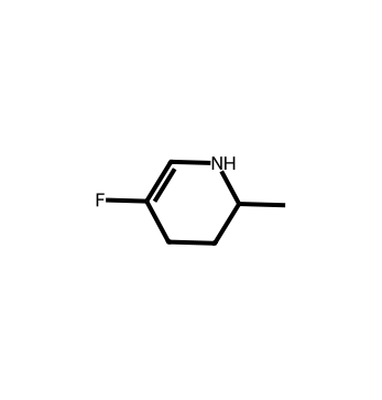 CC1CCC(F)=CN1